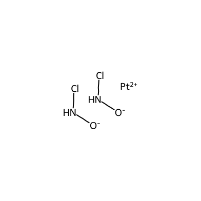 [O-]NCl.[O-]NCl.[Pt+2]